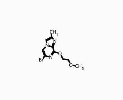 COCCOc1nc(Br)cn2cc(C)nc12